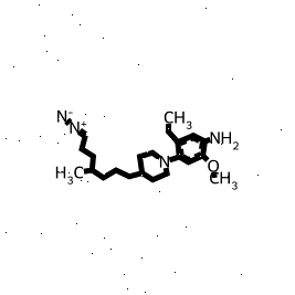 CCc1cc(N)c(OC)cc1N1CCC(CCCC(C)CCC=[N+]=[N-])CC1